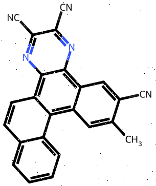 Cc1cc2c(cc1C#N)c1nc(C#N)c(C#N)nc1c1ccc3ccccc3c21